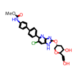 COC(=O)Nc1ccc(-c2ccc(-c3nc4nc(O[C@H]5COC(C#CO)[C@@H](O)C5)[nH]c4cc3Cl)cc2)cc1